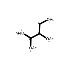 COC(OC(C)=O)C(COC(C)=O)OC(C)=O